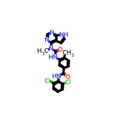 Cc1ccc(C(=O)Nc2c(Cl)cccc2Cl)cc1NC(=O)N(C)c1ncnc2[nH]ccc12